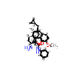 COc1ccc2c3c1O[C@@]1(C)C34CCC(CC3CC3)[C@H](C2)[C@]42CC[C@@]1(N)C(C(=O)Nc1ccccc1)C2